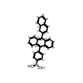 OB(O)c1ccc(-c2c3ccccc3c(C3=CC=C4C=CC=CC4C3)c3ccccc23)cc1